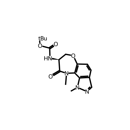 CN1C(=O)[C@@H](NC(=O)OC(C)(C)C)COc2ccc3cnn(C)c3c21